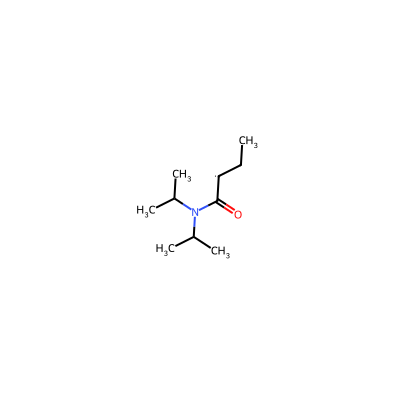 CC[CH]C(=O)N(C(C)C)C(C)C